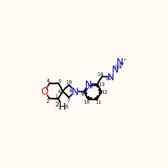 [2H]C1COCCC12CN(c1cccc(CN=[N+]=[N-])n1)C2